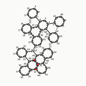 c1ccc(-c2cc(-c3ccccc3)c3c4ccccc4c4cc(N(c5ccccc5-c5cccc6ccccc56)c5cc6ccccc6c6ccccc56)ccc4c3c2-c2ccccc2)cc1